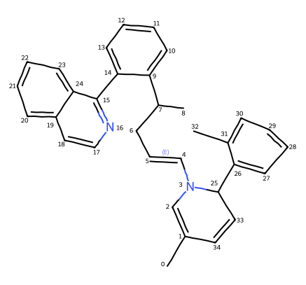 CC1=CN(/C=C/CC(C)c2ccccc2-c2nccc3ccccc23)C(c2ccccc2C)C=C1